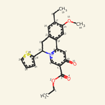 CCOC(=O)c1cn2c(cc1=O)-c1cc(OC)c(CC)cc1CC2c1cccs1